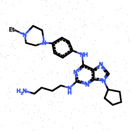 CCN1CCN(c2ccc(Nc3nc(NCCCCN)nc4c3ncn4C3CCCC3)cc2)CC1